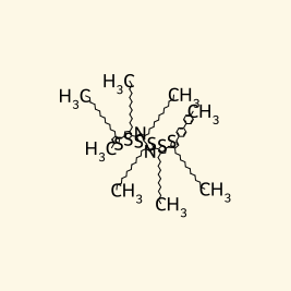 CCCCCCCCCCCCc1cc(C)sc1-c1cc(CCCCCCCCCCCC)c(-c2nc(CCCCCCCCCCCC)c(-c3sc(-c4sc(-c5sc(-c6ccc(-c7ccc(C)cc7)cc6)cc5CCCCCCCCCCCC)cc4CCCCCCCCCCCC)nc3CCCCCCCCCCCC)s2)s1